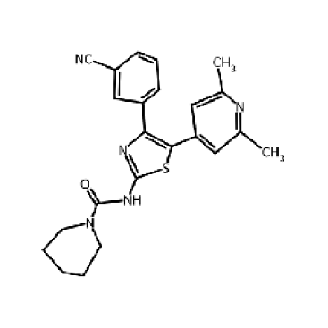 Cc1cc(-c2sc(NC(=O)N3CCCCC3)nc2-c2cccc(C#N)c2)cc(C)n1